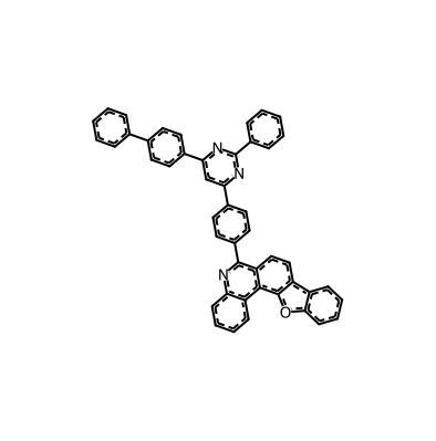 c1ccc(-c2ccc(-c3cc(-c4ccc(-c5nc6ccccc6c6c5ccc5c7ccccc7oc56)cc4)nc(-c4ccccc4)n3)cc2)cc1